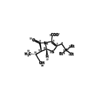 CC[N+](CC)(CC)CC1=C(C(=O)[O-])N2C(=O)[C@H]([C@@H](C)O)[C@H]2S1